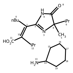 CCCCC(C1=NC(C)(C(C)C)C(=O)N1)=C(C(=O)O)C(C)C.NC1CCCCC1